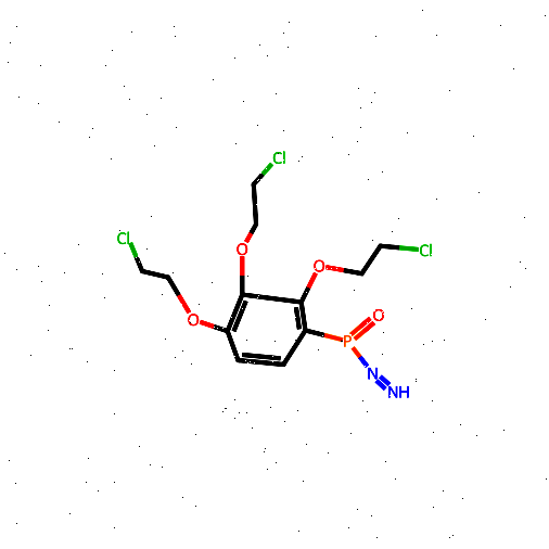 N=N[P](=O)c1ccc(OCCCl)c(OCCCl)c1OCCCl